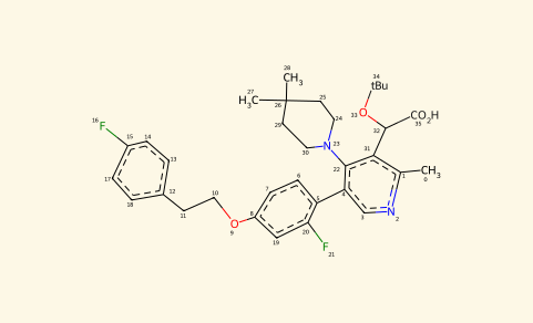 Cc1ncc(-c2ccc(OCCc3ccc(F)cc3)cc2F)c(N2CCC(C)(C)CC2)c1C(OC(C)(C)C)C(=O)O